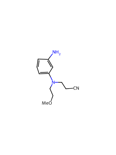 COCCN(CCC#N)c1cccc(N)c1